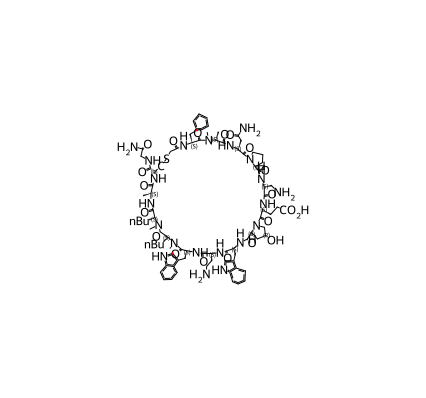 CCCC[C@H]1C(=O)N(C)[C@@H](CCCC)C(=O)N[C@@H](C)C(=O)N[C@H](C(=O)NCC(N)=O)CSCC(=O)N[C@@H](Cc2ccccc2)C(=O)N(C)[C@@H](C)C(=O)N[C@@H](CC(N)=O)C(=O)N2CCC[C@H]2C(=O)N[C@@H](CN)C(=O)N[C@@H](CCC(=O)O)C(=O)N2C[C@H](O)C[C@H]2C(=O)N[C@@H](Cc2c[nH]c3ccccc23)C(=O)N[C@@H](CCN)C(=O)N[C@@H](Cc2c[nH]c3ccccc23)C(=O)N1C